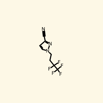 N#Cc1ccn(CCC(F)(F)C(F)(F)F)n1